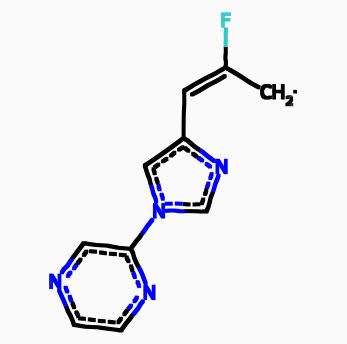 [CH2]/C(F)=C\c1cn(-c2cnccn2)cn1